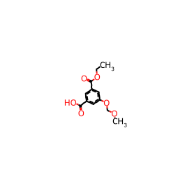 CCOC(=O)c1cc(OCOC)cc(C(=O)O)c1